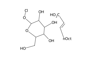 CCCCCCCCC=CC(=O)O.OCC1OC(OCl)C(O)C(O)C1O